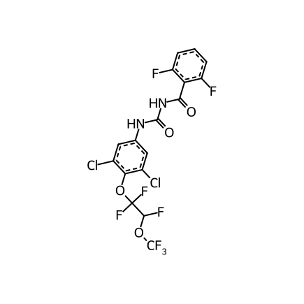 O=C(NC(=O)c1c(F)cccc1F)Nc1cc(Cl)c(OC(F)(F)C(F)OC(F)(F)F)c(Cl)c1